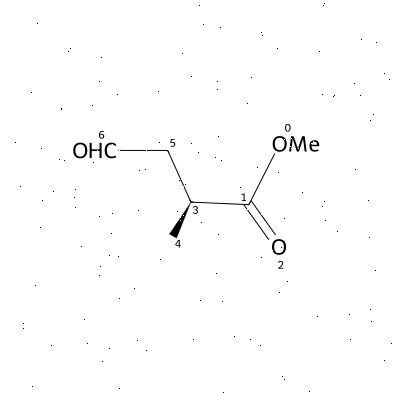 COC(=O)[C@@H](C)CC=O